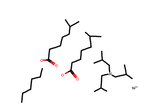 CC(C)CCCCC(=O)[O-].CC(C)CCCCC(=O)[O-].CC(C)[CH2][Al]([CH2]C(C)C)[CH2]C(C)C.CCCCCC.[Ni+2]